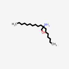 CCCCCCCCCCC(N)(CO)CCCCCCC